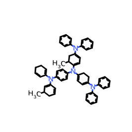 CC1C=C(N(C2=CCCC=C2)c2ccc(N(C3=CC=C(N(c4ccccc4)c4ccccc4)CC3)C3=CC=C(N(c4ccccc4)c4ccccc4)CC3C)cc2)C=CC1